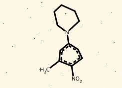 [CH2]c1cc(N2CCCCC2)ccc1[N+](=O)[O-]